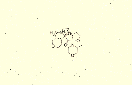 CC1COCCN1C1(C(=O)C2(N3CCOCC3C)OCCN2N)OCCN1N